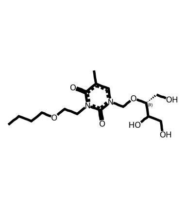 CCCCOCCn1c(=O)c(C)cn(CO[C@H](CO)C(O)CO)c1=O